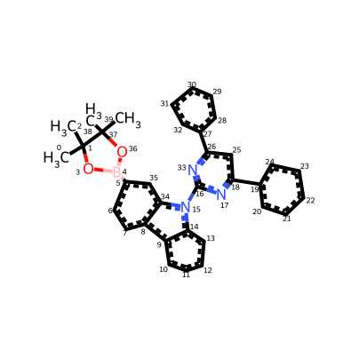 CC1(C)OB(c2ccc3c4ccccc4n(-c4nc(-c5ccccc5)cc(-c5ccccc5)n4)c3c2)OC1(C)C